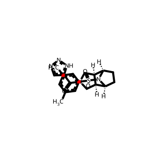 Cc1cc(C)cc(S(=O)(=O)N2[C@@H]3CC[C@H]2[C@H]2CN(C(=O)c4cnn[nH]4)C[C@H]23)c1